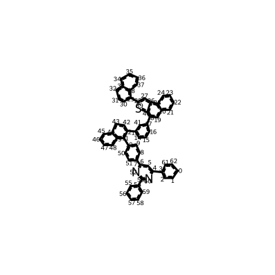 c1ccc(-c2cc(-c3ccc(-c4c(-c5cccc(-c6cc7ccccc7c7cc(-c8cccc9ccccc89)sc67)c5)ccc5ccccc45)cc3)nc(-c3ccccc3)n2)cc1